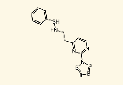 b1bbn(-c2nccc(CCNBc3ccccc3)n2)b1